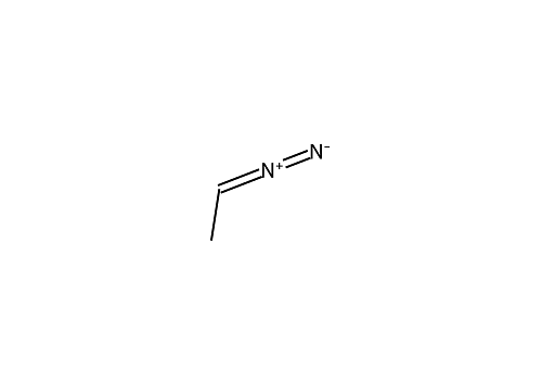 CC=[N+]=[N-]